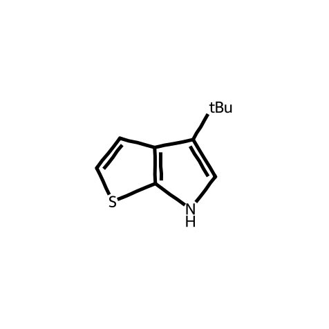 CC(C)(C)c1c[nH]c2sccc12